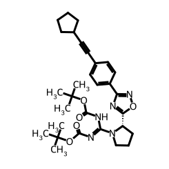 CC(C)(C)OC(=O)/N=C(\NC(=O)OC(C)(C)C)N1CCC[C@H]1c1nc(-c2ccc(C#CC3CCCC3)cc2)no1